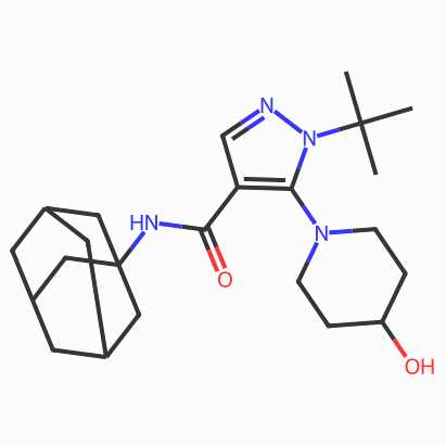 CC(C)(C)n1ncc(C(=O)NC23CC4CC(CC(C4)C2)C3)c1N1CCC(O)CC1